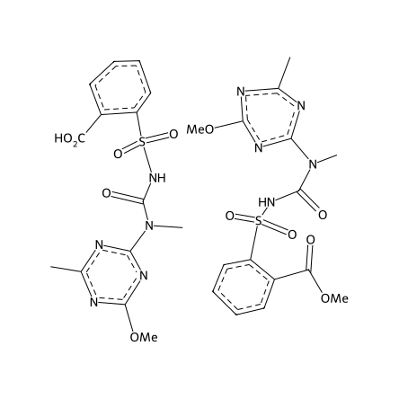 COC(=O)c1ccccc1S(=O)(=O)NC(=O)N(C)c1nc(C)nc(OC)n1.COc1nc(C)nc(N(C)C(=O)NS(=O)(=O)c2ccccc2C(=O)O)n1